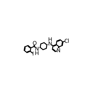 O=C(N[C@H]1CC[C@@H](Nc2ccnc3cc(Cl)ccc23)CC1)c1ccccc1I